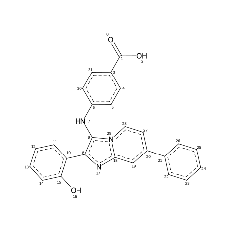 O=C(O)c1ccc(Nc2c(-c3ccccc3O)nc3cc(-c4ccccc4)ccn23)cc1